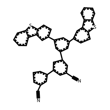 N#Cc1cccc(-c2cc(C#N)cc(-c3cc(-c4ccc5sc6ccccc6c5c4)cc(-c4ccc5sc6ccccc6c5c4)c3)c2)c1